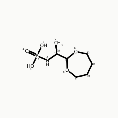 C[C@H](NP(=O)(O)O)C1OCCCCO1